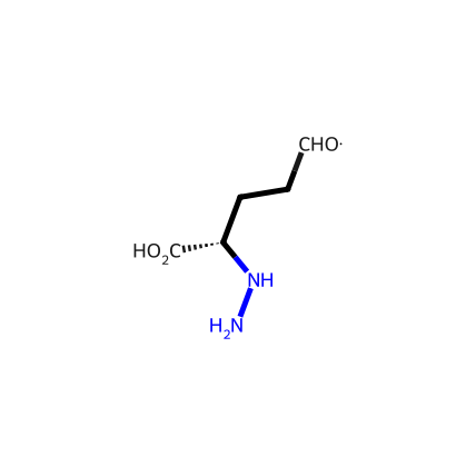 NN[C@@H](CC[C]=O)C(=O)O